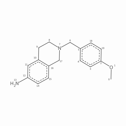 COc1ccc(CN2CCc3cc(N)ccc3C2)cc1